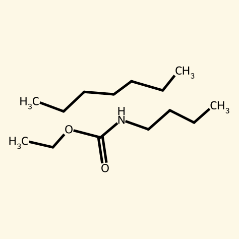 CCCCCCC.CCCCNC(=O)OCC